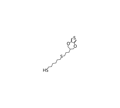 SCCCCCCSCCCC1COc2cscc2OC1